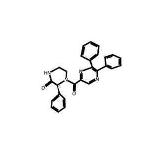 O=C1NCCN(C(=O)c2cnc(-c3ccccc3)c(-c3ccccc3)n2)[C@H]1c1ccccc1